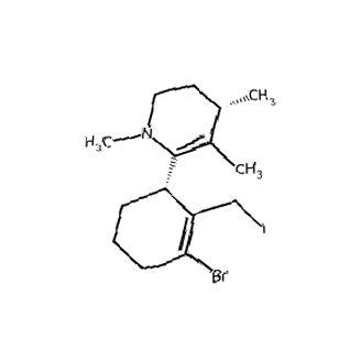 CC1=C([C@H]2CCCC(Br)=C2CI)N(C)CC[C@@H]1C